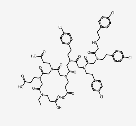 CCN(CCC(=O)O)C(=O)CN(CCC(=O)O)C(=O)CN(CCC(=O)O)C(=O)CN(CCC(=O)O)C(=O)CN(CCc1ccc(Cl)cc1)C(=O)CN(CCc1ccc(Cl)cc1)C(=O)CN(CCc1ccc(Cl)cc1)C(=O)CNCCc1ccc(Cl)cc1